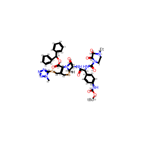 CCN1CCN(C(=O)N[C@H](C(=O)N[C@@H]2C(=O)N3C(C(=O)OC(c4ccccc4)c4ccccc4)=C(CSc4nnnn4C)CS[C@H]23)c2ccc(NC(=O)OC(C)(C)C)cc2)C(=O)C1=O